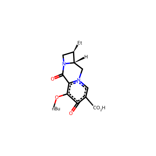 CCCCOc1c2n(cc(C(=O)O)c1=O)C[C@H]1[C@H](CC)CN1C2=O